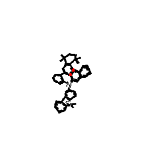 CC1(C)CCC(C)(C)c2cc(-c3ccccc3N(c3ccc4c(c3)-c3ccccc3[Si]4(C)C)c3ccc4ccccc4c3)ccc21